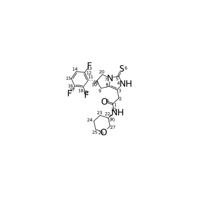 O=C(Cc1[nH]c(=S)n2c1C[C@H](c1c(F)ccc(F)c1F)C2)N[C@@H]1CCCOC1